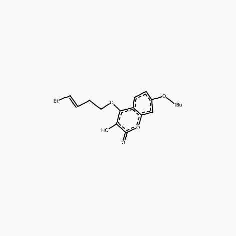 CCC=CCCOc1c(O)c(=O)oc2cc(OC(C)(C)C)ccc12